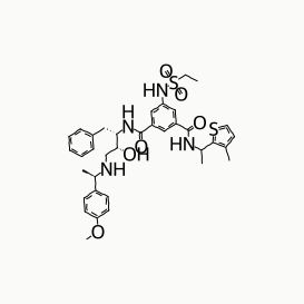 CCS(=O)(=O)Nc1cc(C(=O)NC(C)c2sccc2C)cc(C(=O)N[C@@H](Cc2ccccc2)[C@H](O)CN[C@H](C)c2ccc(OC)cc2)c1